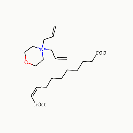 C=CC[N+]1(CC=C)CCOCC1.CCCCCCCC/C=C\CCCCCCCC(=O)[O-]